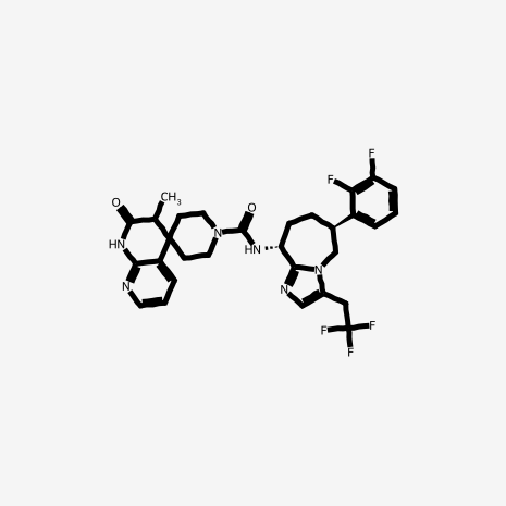 CC1C(=O)Nc2ncccc2C12CCN(C(=O)N[C@@H]1CC[C@@H](c3cccc(F)c3F)Cn3c(CC(F)(F)F)cnc31)CC2